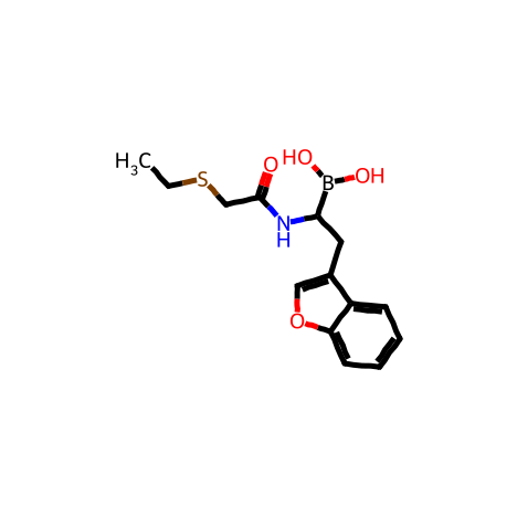 CCSCC(=O)NC(Cc1coc2ccccc12)B(O)O